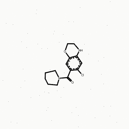 O=C(c1cc2c(cc1Cl)NCCO2)N1CCCCC1